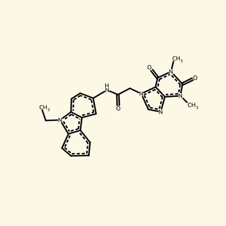 CCn1c2ccccc2c2cc(NC(=O)Cn3cnc4c3c(=O)n(C)c(=O)n4C)ccc21